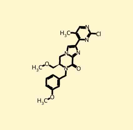 COC[C@H]1Cn2cc(-c3nc(Cl)ncc3C)nc2C(=O)N1Cc1cccc(OC)c1